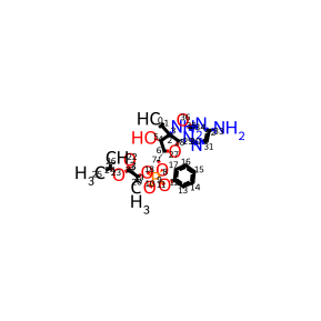 C#CC1(N)[C@@H](O)[C@@H](CO[P@](=O)(Oc2ccccc2)O[C@@H](C)C(=O)OC(C)C)O[C@H]1n1ncc(N)nc1=O